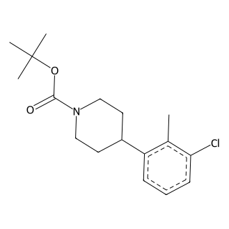 Cc1c(Cl)cccc1C1CCN(C(=O)OC(C)(C)C)CC1